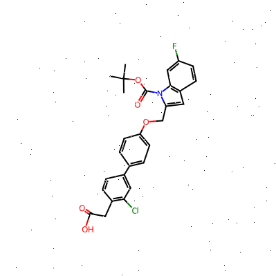 CC(C)(C)OC(=O)n1c(COc2ccc(-c3ccc(CC(=O)O)c(Cl)c3)cc2)cc2ccc(F)cc21